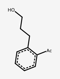 CC(=O)c1ccccc1CCCO